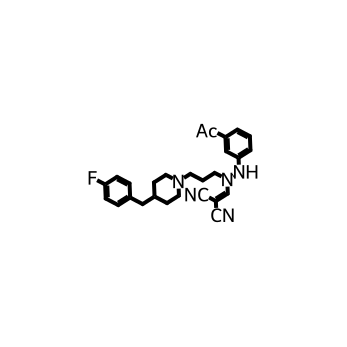 CC(=O)c1cccc(NN(C=C(C#N)C#N)CCCN2CCC(Cc3ccc(F)cc3)CC2)c1